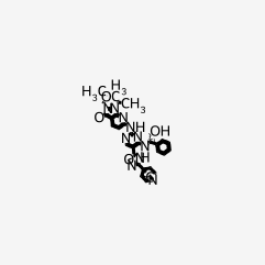 COCn1c(=O)c2ccc(Nc3ncc(-c4nc(C56CCN(CC5)CC6)no4)c(N[C@H](CO)c4ccccc4)n3)nc2n1C(C)C